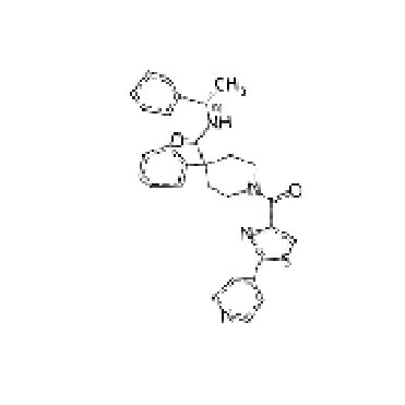 C[C@H](NC(=O)C1(c2ccccc2)CCN(C(=O)c2csc(-c3ccncc3)n2)CC1)c1ccccc1